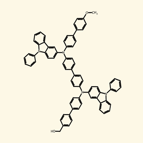 COc1ccc(-c2ccc(N(c3ccc(-c4ccc(N(c5ccc(-c6ccc(CO)cc6)cc5)c5ccc6c(c5)c5ccccc5n6-c5ccccc5)cc4)cc3)c3ccc4c(c3)c3ccccc3n4-c3ccccc3)cc2)cc1